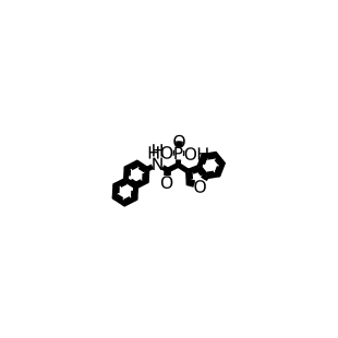 O=C(Nc1ccc2ccccc2c1)C(c1coc2ccccc12)P(=O)(O)O